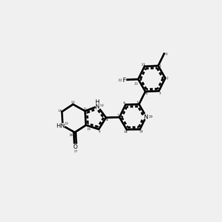 Cc1ccc(-c2cc(-c3cc4c([nH]3)CCNC4=O)ccn2)c(F)c1